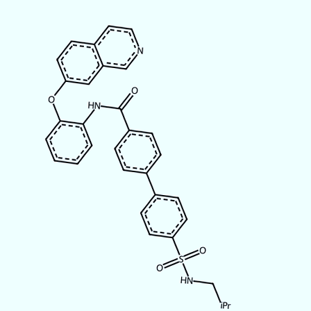 CC(C)CNS(=O)(=O)c1ccc(-c2ccc(C(=O)Nc3ccccc3Oc3ccc4ccncc4c3)cc2)cc1